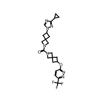 O=C(N1CC2(CC(Oc3ccc(C(F)(F)F)nn3)C2)C1)N1CC2(CC(n3cnc(C4CC4)n3)C2)C1